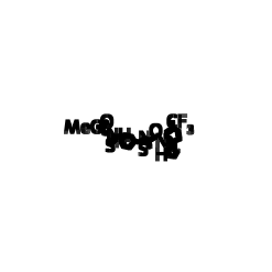 COC(=O)CNC(=S)N1CCC(c2nc(C(=O)Nc3cc(C(F)(F)F)ccc3N3CCCC3)cs2)CC1